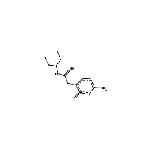 CCC(CC)NC(=N)Cn1ccc(N)nc1=O